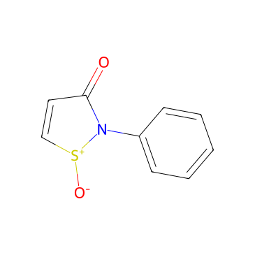 O=c1cc[s+]([O-])n1-c1ccccc1